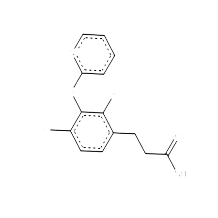 NC(=O)C[CH]c1ccc(Cl)c(Oc2ccccn2)c1F